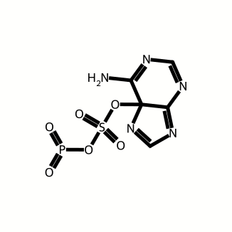 NC1=NC=NC2=NC=NC12OS(=O)(=O)OP(=O)=O